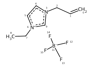 C=CCn1cc[n+](CC)c1.F[B-](F)(F)F